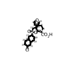 O=C(O)N1CCC2(CC1)CC1OC2N1CCS(=O)(=O)c1ccc2cc(Cl)ccc2c1